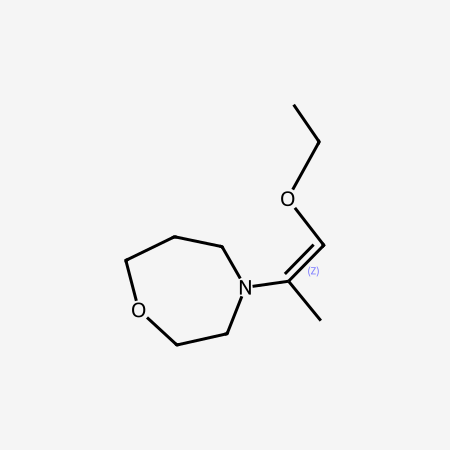 CCO/C=C(/C)N1CCCOCC1